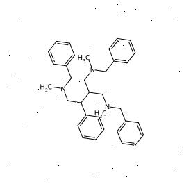 CN(C[C](c1ccccc1)C(CN(C)Cc1ccccc1)CN(C)Cc1ccccc1)Cc1ccccc1